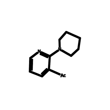 CC(=O)c1cccnc1N1CCCCC1